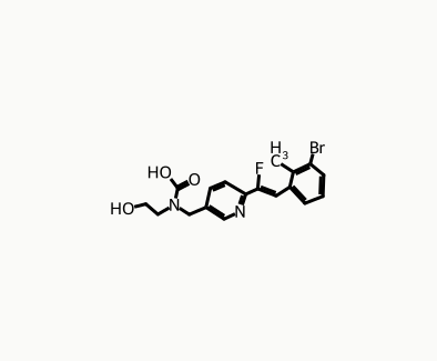 Cc1c(Br)cccc1C=C(F)c1ccc(CN(CCO)C(=O)O)cn1